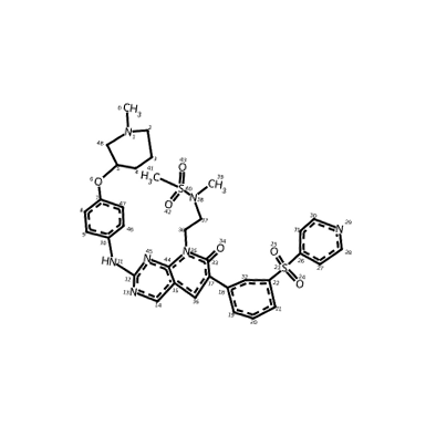 CN1CCCC(Oc2ccc(Nc3ncc4cc(-c5cccc(S(=O)(=O)c6ccncc6)c5)c(=O)n(CCN(C)S(C)(=O)=O)c4n3)cc2)C1